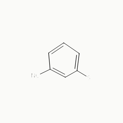 N#Cc1cccc([S])c1